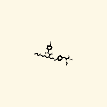 CCCSCCCN(CCOc1ccc(CC(OCC)C(=O)O)cc1)C(=O)Nc1ccc(F)cc1